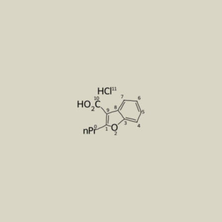 CCCc1oc2ccccc2c1C(=O)O.Cl